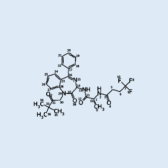 C[C@H](NC(=O)CCC(F)(F)F)C(=O)NC1N=C(c2ccccc2)c2ccccc2N(CC(=O)C(C)(C)C)C1=O